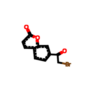 O=C(CBr)c1ccc2ccc(=O)oc2c1